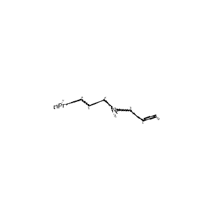 C=CC[N]CCCCCC